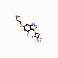 CC(C)CCOc1cc(C(F)(F)F)c2c(c1)nnn2[C@H]1C[C@](C)(O)C1